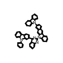 c1ccc(-n2c3ccccc3c3ccc(-c4nc(-n5c6ccccc6c6cc7ccc(-n8c9ccccc9c9ccccc98)cc7cc65)nc5ccccc45)cc32)cc1